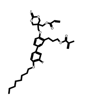 C=CC(=O)OCC1(COc2ccc(-c3ccc(OCCCCCCCC)c(F)c3)cc2CCCOC(=O)C(=C)C)COC(=S)OC1